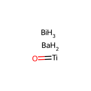 [BaH2].[BiH3].[O]=[Ti]